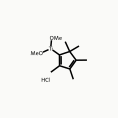 C[O][Ti]([O]C)[C]1=C(C)C(C)=C(C)C1(C)C.Cl